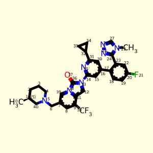 C[C@H]1CCCN(Cc2cc(C(F)(F)F)c3cn(-c4cc(-c5ccc(F)cc5-c5nncn5C)cc(C5CC5)n4)c(=O)n3c2)C1